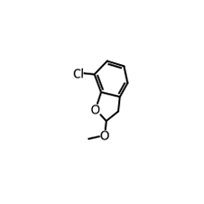 COC1Cc2cccc(Cl)c2O1